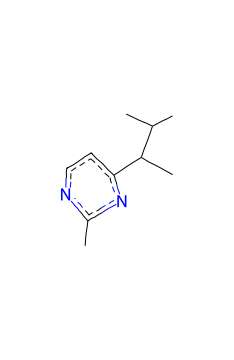 Cc1nccc(C(C)C(C)C)n1